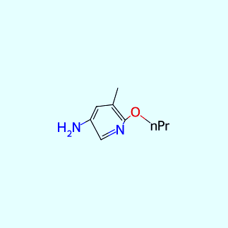 CCCOc1ncc(N)cc1C